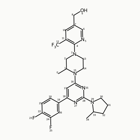 CC1CN(c2ncc(CO)cc2C(F)(F)F)CCN1c1cc(-c2ccc(F)c(F)c2)nc(N2CCCC2C)n1